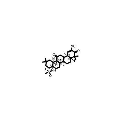 [C-]#[N+]C1=C[C@]2(C)C3CC(=O)[C@@H]4[C@@H]5CC(C)(C)CC[C@]5(NS(C)(=O)=O)CC[C@@]4(C)[C@]3(C)CC[C@H]2C(C)(C)C1=O